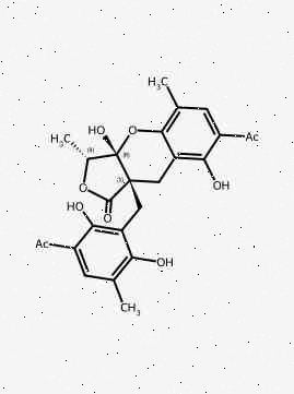 CC(=O)c1cc(C)c(O)c(C[C@]23Cc4c(O)c(C(C)=O)cc(C)c4O[C@@]2(O)[C@@H](C)OC3=O)c1O